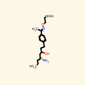 CC(=O)NCCO/N=C(\C)c1ccc(CCC(O)C[C@H](N)CCC(=O)O)cc1